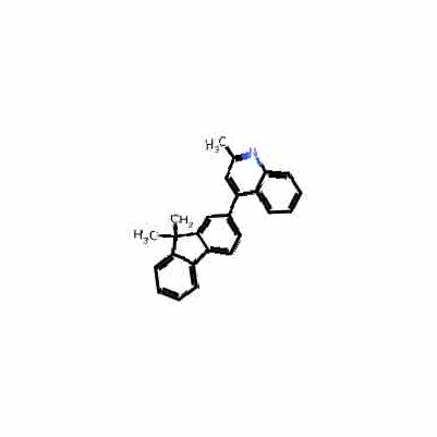 Cc1cc(-c2ccc3c(c2)C(C)(C)c2ccccc2-3)c2ccccc2n1